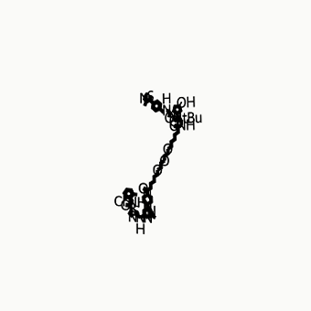 Cc1nc(Nc2ncc(C(=O)Nc3c(C)cccc3Cl)s2)cc(N2CCN(C(=O)CCCCCOCCOCCOCCCCCC(=O)NC(C(=O)N3C[C@H](O)C[C@H]3C(=O)NCc3ccc(-c4scnc4C)cc3)C(C)(C)C)CC2)n1